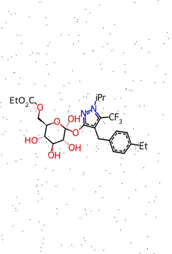 CCOC(=O)OC[C@H]1O[C@@](O)(Oc2nn(C(C)C)c(C(F)(F)F)c2Cc2ccc(CC)cc2)[C@H](O)[C@@H](O)[C@@H]1O